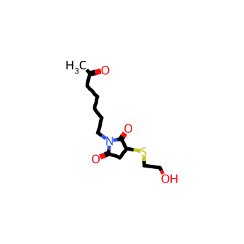 CC(=O)CCCCCN1C(=O)CC(SCCO)C1=O